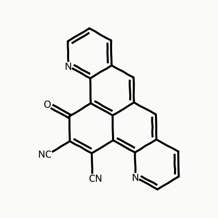 N#CC1=C(C#N)c2c3ncccc3cc3cc4cccnc4c(c23)C1=O